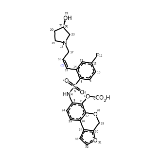 O=C(O)Oc1c(NS(=O)(=O)c2ccc(F)cc2/C=C\CN2CC[C@@H](O)C2)ccc2c1OCc1occc1-2